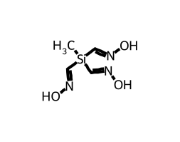 C[Si](C=NO)(C=NO)C=NO